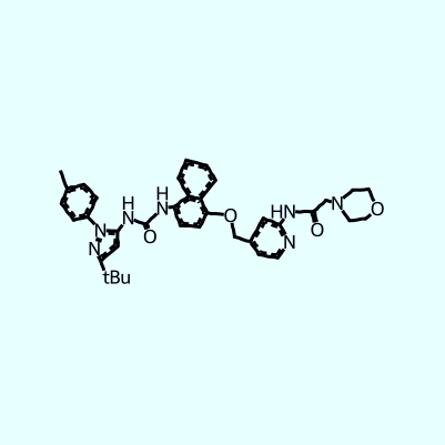 Cc1ccc(-n2nc(C(C)(C)C)cc2NC(=O)Nc2ccc(OCc3ccnc(NC(=O)CN4CCOCC4)c3)c3ccccc23)cc1